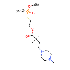 COP(=O)(OC(C)(C)C)SCCOC(=O)C(C)(C)CCN1CCN(C)CC1